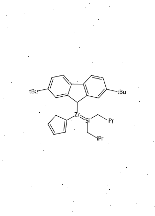 CC(C)C[Si](CC(C)C)=[Zr]([C]1=CC=CC1)[CH]1c2cc(C(C)(C)C)ccc2-c2ccc(C(C)(C)C)cc21